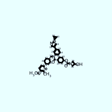 COc1ccc([C@H]2CC[C@H](CN(c3cccc(-c4cnn(C5CC5)c4)c3)C(=O)[C@H]3CC[C@H](OC(=O)N4CC(O)C4)CC3)CC2)nc1C